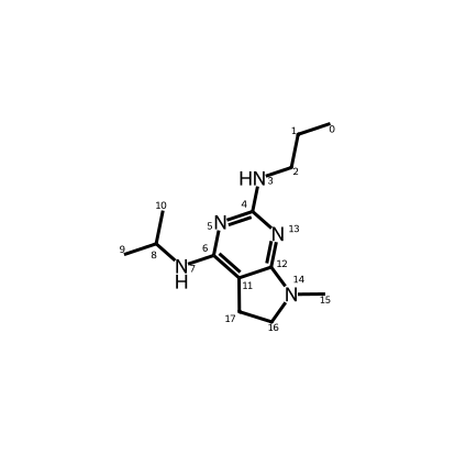 CCCNc1nc(NC(C)C)c2c(n1)N(C)CC2